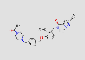 COc1c(CNC(=O)c2cc(C3CC3)nn2C)cccc1OCc1ccc(CN2CCN(C(=O)C(C)C)CC2)cc1